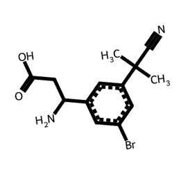 CC(C)(C#N)c1cc(Br)cc(C(N)CC(=O)O)c1